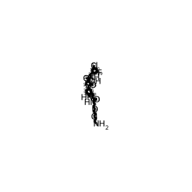 NCCOCCOCCNC(=O)c1cc2cc(N3CC[C@@](O)(C(=O)NCc4cc(F)cc(Cl)c4)C3=O)ccc2[nH]1